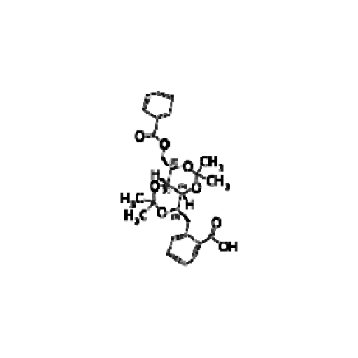 CC1(C)O[C@H]2[C@H](OC(C)(C)O[C@@H]2COC(=O)c2ccccc2)[C@@H](Cc2ccccc2C(=O)O)O1